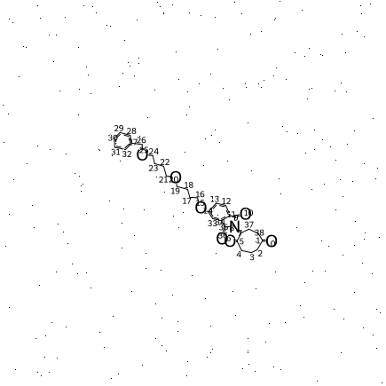 O=C1CCCC(=O)C(N2C(=O)c3ccc(OCCCCOCCCCOCc4ccccc4)cc3C2=O)CC1